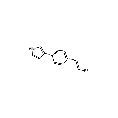 CCC=Cc1ccc(-c2cc[nH]c2)cc1